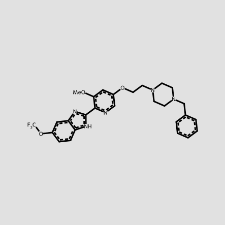 COc1cc(OCCN2CCN(Cc3ccccc3)CC2)cnc1-c1nc2cc(OC(F)(F)F)ccc2[nH]1